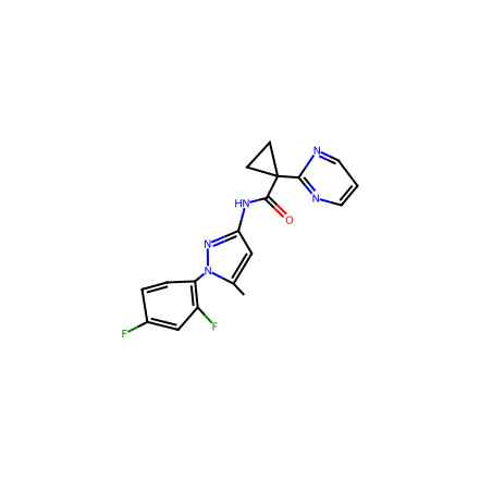 Cc1cc(NC(=O)C2(c3ncccn3)CC2)nn1-c1ccc(F)cc1F